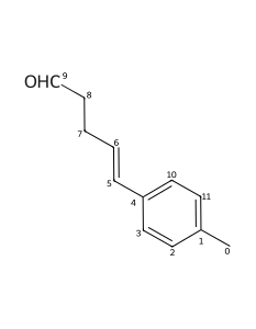 Cc1ccc(/C=C/CCC=O)cc1